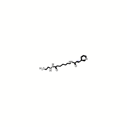 CCCNNC(=O)CCCCCCNC(=O)/C=C/c1cccnc1